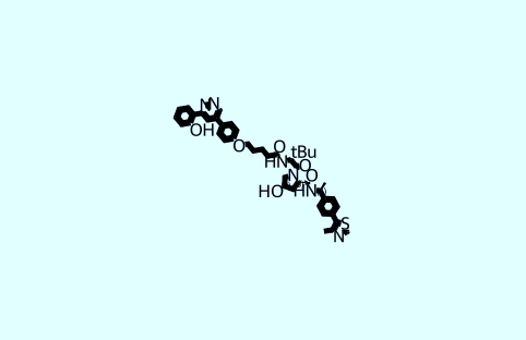 Cc1ncsc1-c1ccc([C@H](C)NC(=O)[C@@H]2C[C@@H](O)CN2C(=O)C(NC(=O)CCCCOc2ccc(-c3cnnc(-c4ccccc4O)c3)cc2)C(C)(C)C)cc1